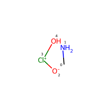 CN.[O-][Cl+]O